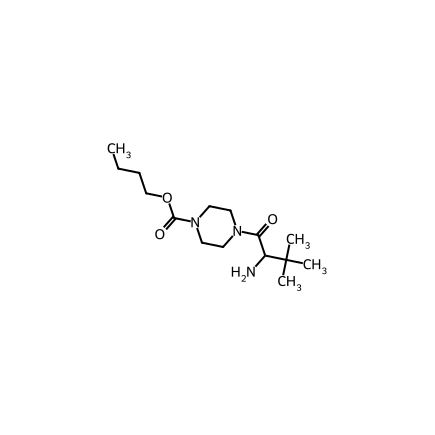 CCCCOC(=O)N1CCN(C(=O)C(N)C(C)(C)C)CC1